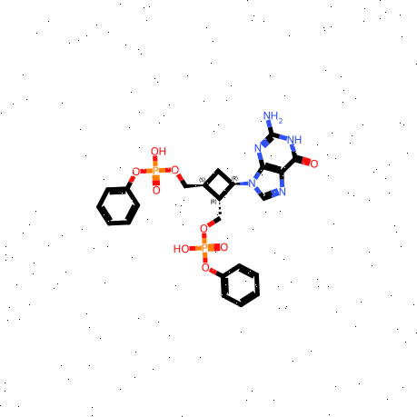 Nc1nc2c(ncn2[C@@H]2C[C@H](COP(=O)(O)Oc3ccccc3)[C@H]2COP(=O)(O)Oc2ccccc2)c(=O)[nH]1